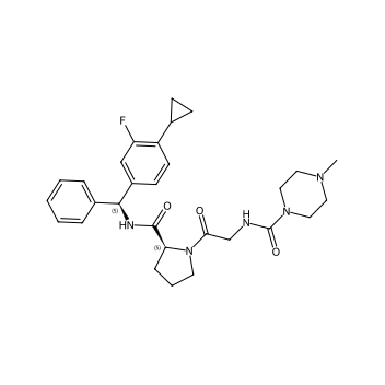 CN1CCN(C(=O)NCC(=O)N2CCC[C@H]2C(=O)N[C@@H](c2ccccc2)c2ccc(C3CC3)c(F)c2)CC1